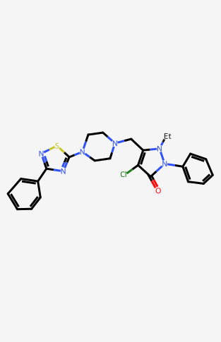 CCn1c(CN2CCN(c3nc(-c4ccccc4)ns3)CC2)c(Cl)c(=O)n1-c1ccccc1